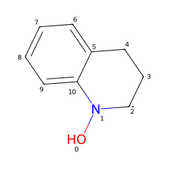 ON1[CH]CCc2ccccc21